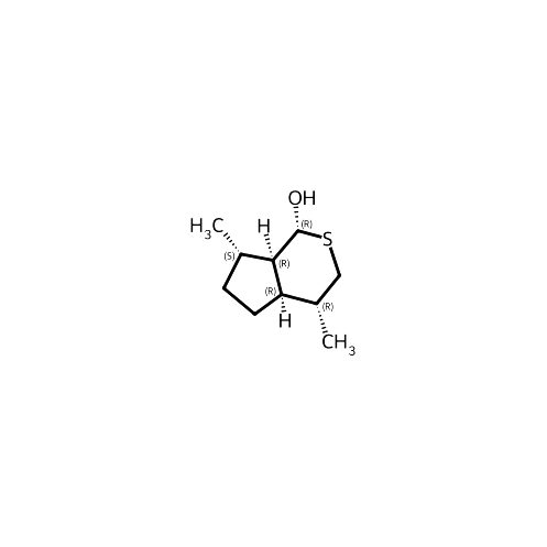 C[C@H]1CS[C@@H](O)[C@H]2[C@@H]1CC[C@@H]2C